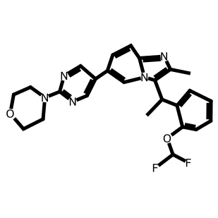 Cc1nc2ccc(-c3cnc(N4CCOCC4)nc3)cn2c1C(C)c1ccccc1OC(F)F